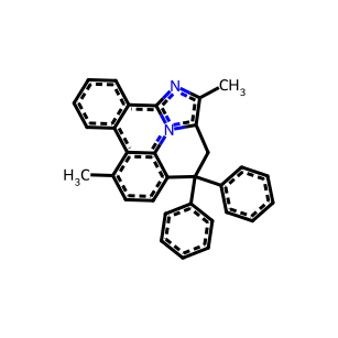 Cc1nc2c3ccccc3c3c(C)ccc4c3n2c1CC4(c1ccccc1)c1ccccc1